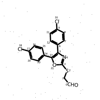 O=CCSc1nc(-c2ccc(Cl)cc2)c(-c2ccc(Cl)cc2)o1